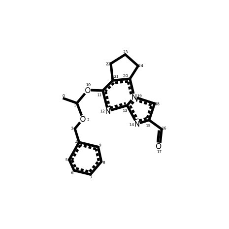 CC(OCc1ccccc1)Oc1nc2nc(C=O)cn2c2c1CCC2